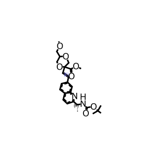 COCC1COC(/C=C/c2ccc3ccc([C@@H](C)NC(=O)OC(C)(C)C)nc3c2)(C(=O)OC)CO1